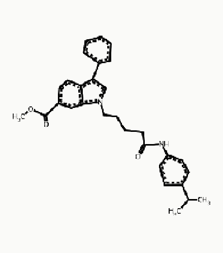 COC(=O)c1ccc2c(-c3ccccc3)cn(CCCCC(=O)Nc3ccc(C(C)C)cc3)c2c1